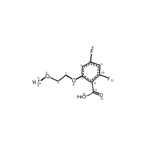 COCCOc1cc(F)cc(F)c1C(=O)O